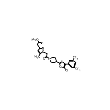 COC(=O)Cc1cc(C)n(CC(=O)N2CCC(c3nc(-c4cc(C(F)(F)F)cc(C(F)(F)F)c4)c(Cl)s3)CC2)n1